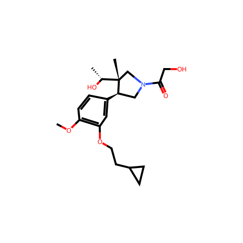 COc1ccc([C@@H]2CN(C(=O)CO)C[C@@]2(C)[C@@H](C)O)cc1OCCC1CC1